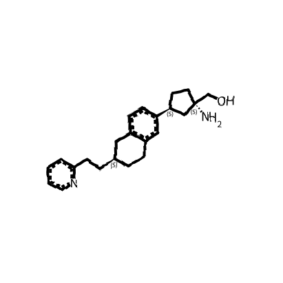 N[C@@]1(CO)CC[C@H](c2ccc3c(c2)CC[C@@H](CCc2ccccn2)C3)C1